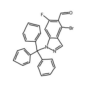 O=Cc1c(F)cc2c(cnn2C(c2ccccc2)(c2ccccc2)c2ccccc2)c1Br